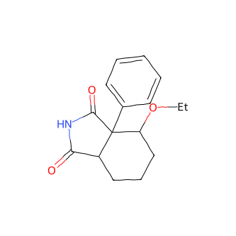 CCOC1CCCC2C(=O)NC(=O)C12c1ccccc1